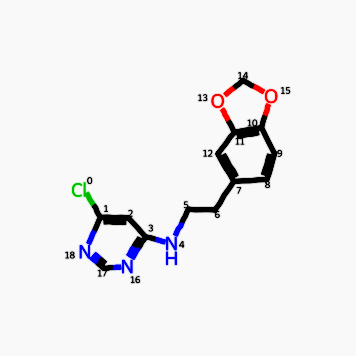 Clc1cc(NCCc2ccc3c(c2)OCO3)ncn1